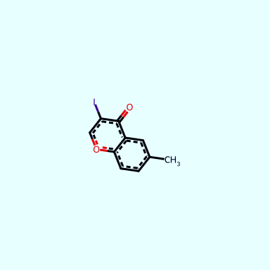 Cc1ccc2occ(I)c(=O)c2c1